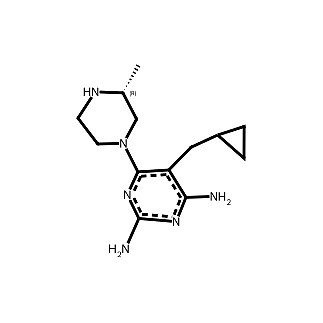 C[C@@H]1CN(c2nc(N)nc(N)c2CC2CC2)CCN1